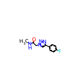 CNC(=O)Cn1cc(-c2ccc(F)cc2)nn1